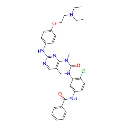 CCN(CC)CCOc1ccc(Nc2ncc3c(n2)N(C)C(=O)N(c2cc(NC(=O)c4ccccc4)ccc2Cl)C3)cc1